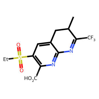 CCS(=O)(=O)c1cc2c(nc1C(=O)O)N=C(C(F)(F)F)C(C)C2